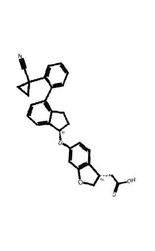 N#CC1(c2ccccc2-c2cccc3c2CC[C@H]3Oc2ccc3c(c2)OC[C@H]3CC(=O)O)CC1